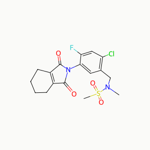 CN(Cc1cc(N2C(=O)C3=C(CCCC3)C2=O)c(F)cc1Cl)S(C)(=O)=O